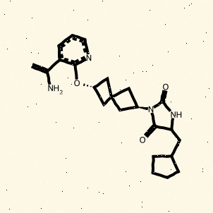 C=C(N)c1cccnc1O[C@H]1CC2(C1)C[C@H](N1C(=O)NC(CC3CCCC3)C1=O)C2